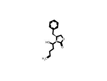 C=CCCC(O)N1C(=O)OC[C@@H]1Cc1ccccc1